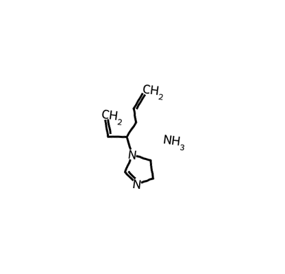 C=CCC(C=C)N1C=NCC1.N